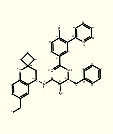 CCc1ccc2c(c1)[C@@H](NC[C@H](O)[C@H](Cc1ccccc1)NC(=O)c1ccc(F)c(-c3ccccn3)c1)CC1(CCC1)O2